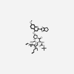 C=CCCCCC[C@H](NC(=O)OC(C)(C)C)C(=O)N1C[C@H](Oc2cc(-c3nc4c(s3)CCC4)nc3cc(OC)ccc23)C[C@H]1C(=O)N[C@]1(C(=O)OCC)C[C@H]1C=C